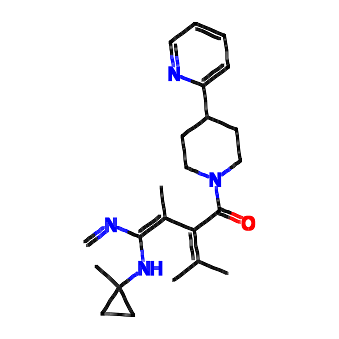 C=N/C(NC1(C)CC1)=C(\C)C(C(=O)N1CCC(c2ccccn2)CC1)=C(C)C